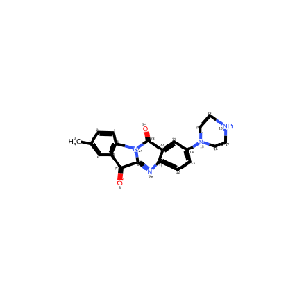 Cc1ccc2c(c1)C(=O)c1nc3ccc(N4CCNCC4)cc3c(=O)n1-2